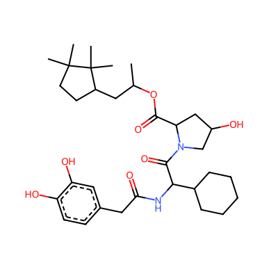 CC(CC1CCC(C)(C)C1(C)C)OC(=O)C1CC(O)CN1C(=O)C(NC(=O)Cc1ccc(O)c(O)c1)C1CCCCC1